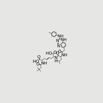 Cc1ccc(NC(=NC#N)Nc2ccc(CC(=O)NC(CC(C)C)C(=O)NC(CC=CCC(NC(=O)CC(C)(C)C)C(=O)O)C(=O)O)cc2)cc1